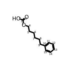 O=C(O)OCCCCCCc1ccccc1